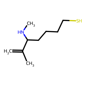 C=C(C)C(CCCCS)NC